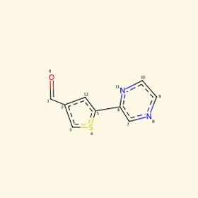 O=Cc1csc(-c2cnccn2)c1